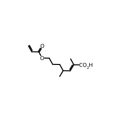 C=CC(=O)OCCCC(C)C=C(C)C(=O)O